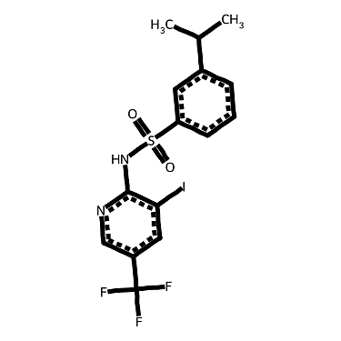 CC(C)c1cccc(S(=O)(=O)Nc2ncc(C(F)(F)F)cc2I)c1